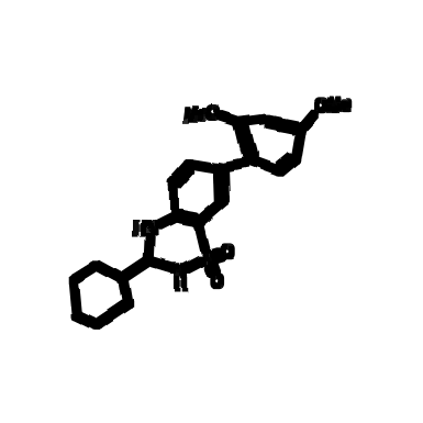 COc1ccc(-c2ccc3c(c2)S(=O)(=O)NC(C2CCCCC2)N3)c(OC)c1